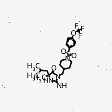 CC(C)CC1(C)NC(=N)N(CC2CCN(S(=O)(=O)c3ccc(OC(F)(F)F)cc3)CC2)C1=O